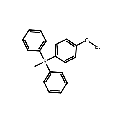 CCOc1ccc(S(C)(c2ccccc2)c2ccccc2)cc1